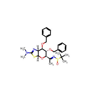 CC(=N[S+]([O-])C(C)(C)C)[C@H]1O[C@@H]2SC(N(C)C)=N[C@@H]2[C@@H](OCc2ccccc2)[C@@H]1OCc1ccccc1